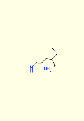 CC[C@@H](C)C[C@H](N)CNC